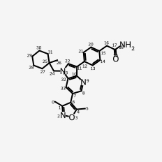 Cc1noc(C)c1-c1cnc2c(-c3ccc(CC(N)=O)cc3)cn(CC3(C)CCCCC3)c2c1